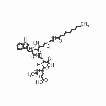 CCCCCCCCCC(=O)NCCNCC[C@H](N)C(=O)N[C@H](Cc1c[nH]c2ccccc12)C(=O)NCC[C@@H](NC(=O)[C@@H](CCC(=O)O)NC(C)=O)C(=O)O